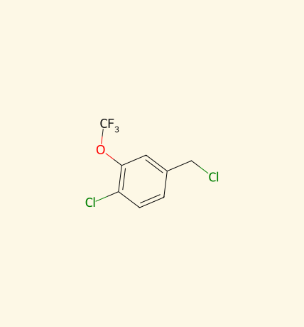 FC(F)(F)Oc1cc(CCl)ccc1Cl